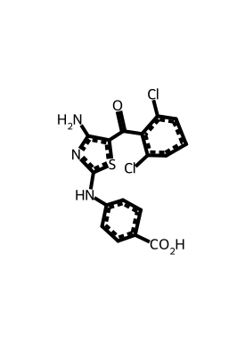 Nc1nc(Nc2ccc(C(=O)O)cc2)sc1C(=O)c1c(Cl)cccc1Cl